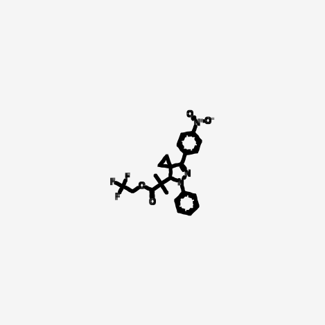 CC(C)(C(=O)OCC(F)(F)F)C1N(c2ccccc2)N=C(c2ccc([N+](=O)[O-])cc2)C12CC2